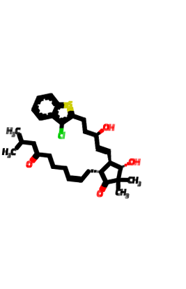 CC(C)CC(=O)CCC/C=C\C[C@H]1C(=O)C(C)(C)[C@@H](O)[C@@H]1/C=C/[C@H](O)CCc1sc2ccccc2c1Cl